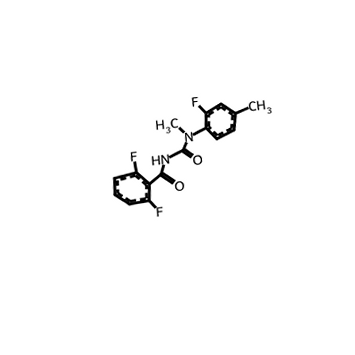 Cc1ccc(N(C)C(=O)NC(=O)c2c(F)cccc2F)c(F)c1